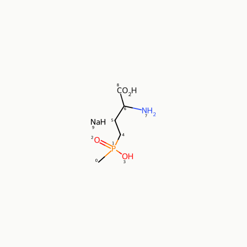 CP(=O)(O)CCC(N)C(=O)O.[NaH]